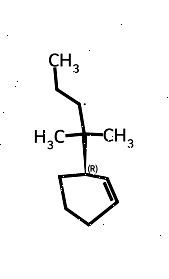 CC[CH]C(C)(C)[C@H]1C=CCCC1